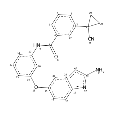 N#CC1(c2cccc(C(=O)Nc3cccc(Oc4ccc5nc(N)cn5c4)c3)c2)CC1